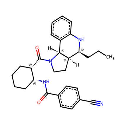 CCC[C@@H]1Nc2ccccc2[C@H]2[C@@H]1CCN2C(=O)[C@H]1CCCC[C@H]1NC(=O)c1ccc(C#N)cc1